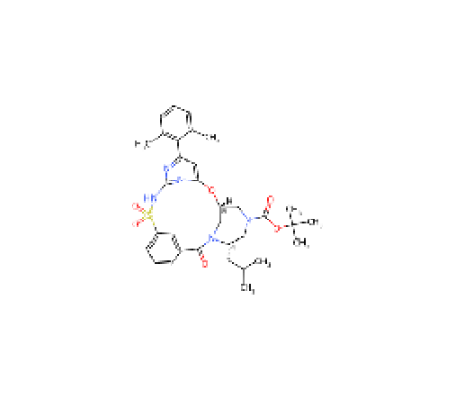 Cc1cccc(C)c1-c1cc2nc(n1)NS(=O)(=O)c1cccc(c1)C(=O)N1C[C@@H](CN(C(=O)OC(C)(C)C)C[C@@H]1CC(C)C)O2